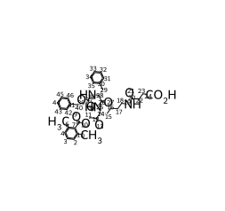 Cc1cccc(C)c1C(=O)OCC(=O)[C@@H](CCCCNC(=O)CCC(=O)O)NC(=O)[C@@H](Cc1ccccc1)NC(=O)OCc1ccccc1